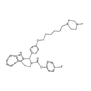 CN1CCN(CCCCCCOc2ccc(C3c4[nH]c5ccccc5c4CCN3C(=O)Oc3ccc(F)cc3)cc2)CC1